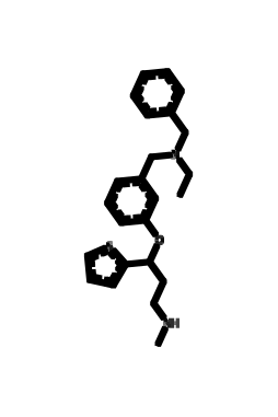 CCN(Cc1ccccc1)Cc1cccc(OC(CCNC)c2cccs2)c1